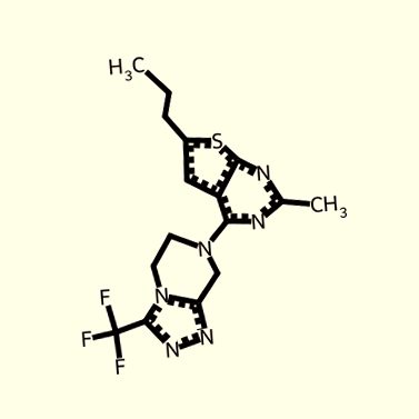 CCCc1cc2c(N3CCn4c(nnc4C(F)(F)F)C3)nc(C)nc2s1